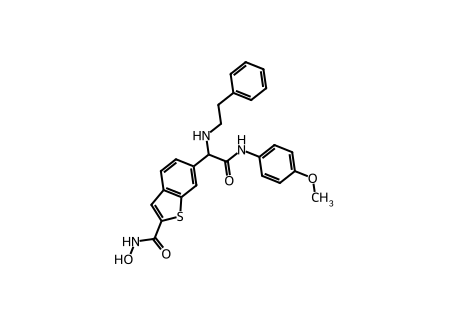 COc1ccc(NC(=O)C(NCCc2ccccc2)c2ccc3cc(C(=O)NO)sc3c2)cc1